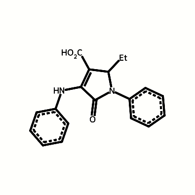 CCC1C(C(=O)O)=C(Nc2ccccc2)C(=O)N1c1ccccc1